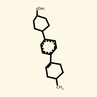 CCCCCCCCCCC1CCC(c2ccc(C3=CCC(C)CC3)cc2)CC1